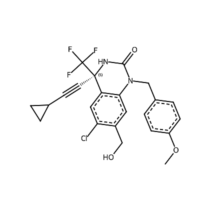 COc1ccc(CN2C(=O)N[C@](C#CC3CC3)(C(F)(F)F)c3cc(Cl)c(CO)cc32)cc1